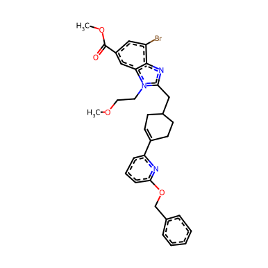 COCCn1c(CC2CC=C(c3cccc(OCc4ccccc4)n3)CC2)nc2c(Br)cc(C(=O)OC)cc21